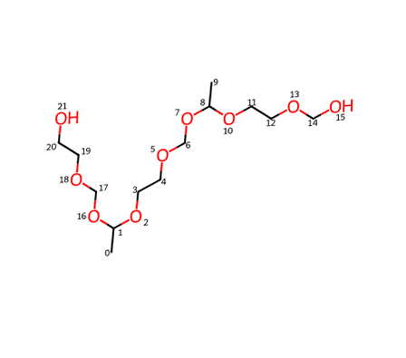 CC(OCCOCOC(C)OCCOCO)OCOCCO